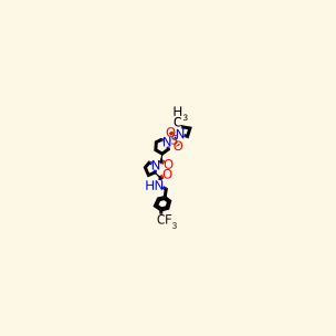 C[C@@H]1CCN1S(=O)(=O)N1CCC[C@H](C(=O)N2CCC[C@@H]2C(=O)NCc2ccc(C(F)(F)F)cc2)C1